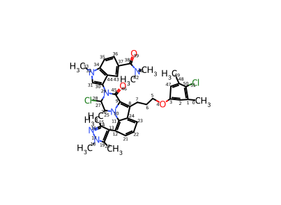 Cc1cc(OCCCc2c3n(c4c(-c5c(C)nn(C)c5C)cccc24)[C@H](C)C(Cl)N(c2cn(C)c4ccc(C(=O)N(C)C)cc24)C3=O)cc(C)c1Cl